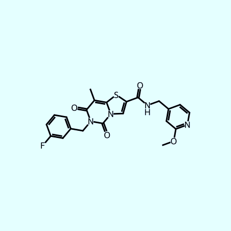 COc1cc(CNC(=O)c2cn3c(=O)n(Cc4cccc(F)c4)c(=O)c(C)c3s2)ccn1